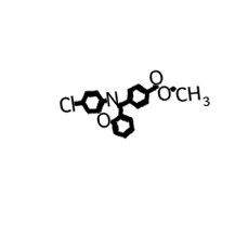 CCOC(=O)c1ccc(C2=NC3=C(CC(Cl)C=C3)Oc3ccccc32)cc1